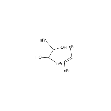 CCC/C=C/CCC.CCCC(O)C(O)CCC